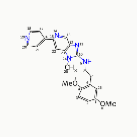 COc1ccc(OC)c(CCNc2nc3cnc(-c4ccncc4)cc3n2C)c1